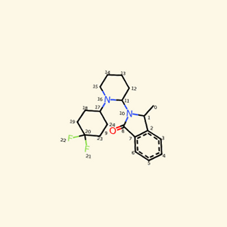 CC1c2ccccc2C(=O)N1C1CCCCN1C1CCC(F)(F)CC1